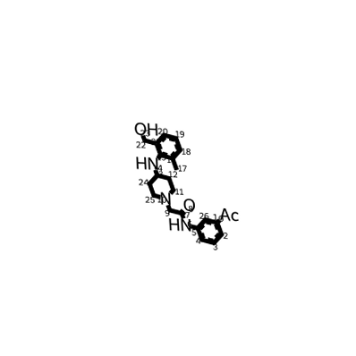 CC(=O)c1cccc(NC(=O)CN2CCC(Nc3c(C)cccc3CO)CC2)c1